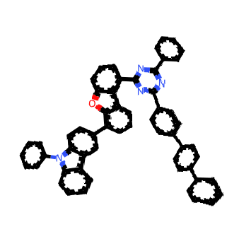 c1ccc(-c2ccc(-c3ccc(-c4nc(-c5ccccc5)nc(-c5cccc6oc7c(-c8ccc9c(c8)c8ccccc8n9-c8ccccc8)cccc7c56)n4)cc3)cc2)cc1